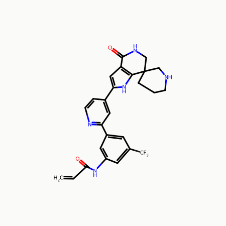 C=CC(=O)Nc1cc(-c2cc(-c3cc4c([nH]3)C3(CCCNC3)CNC4=O)ccn2)cc(C(F)(F)F)c1